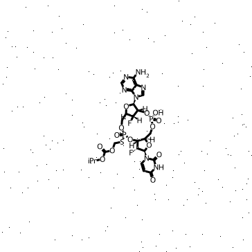 CC(C)OC(=O)OCSP1(=O)OC[C@H]2O[C@@H](n3cnc4c(N)ncnc43)[C@H](OP(=O)(O)OC[C@H]3O[C@@H](n4ccc(=O)[nH]c4=O)[C@H](F)[C@@H]3O1)[C@@H]2F